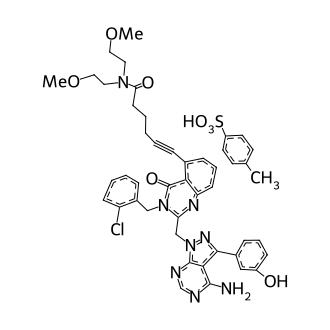 COCCN(CCOC)C(=O)CCCC#Cc1cccc2nc(Cn3nc(-c4cccc(O)c4)c4c(N)ncnc43)n(Cc3ccccc3Cl)c(=O)c12.Cc1ccc(S(=O)(=O)O)cc1